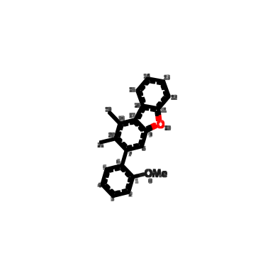 COc1ccccc1-c1cc2oc3ccccc3c2c(C)c1C